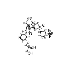 O=C(Nc1cncc(OCC(O)CO)c1)N1c2nc(-c3cccc(C(F)(F)F)c3)c(Cl)cc2N2CCC[C@H]1C2